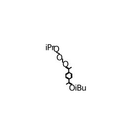 CC(=COCCOCCOC(C)C)c1ccc(C(C)=COCC(C)C)cc1